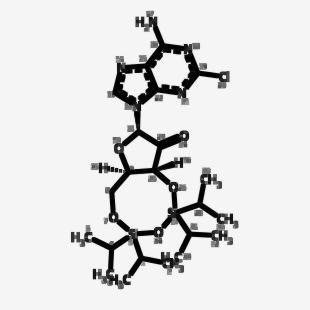 CC(C)[Si]1(C(C)C)OC[C@H]2O[C@@H](n3cnc4c(N)nc(Cl)nc43)C(=O)[C@@H]2O[Si](C(C)C)(C(C)C)O1